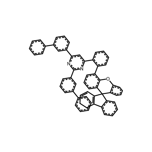 C1=CC2=C(CC1)c1ccccc1C21c2ccccc2Oc2c(-c3ccccc3-c3cc(-c4cccc(-c5ccccc5)c4)nc(-c4cccc(-c5ccccc5)c4)n3)cccc21